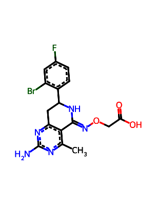 Cc1nc(N)nc2c1C(=NOCC(=O)O)NC(c1ccc(F)cc1Br)C2